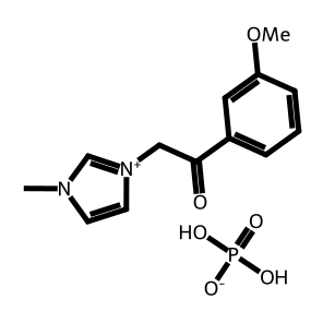 COc1cccc(C(=O)C[n+]2ccn(C)c2)c1.O=P([O-])(O)O